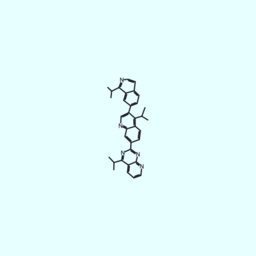 CC(C)c1nccc2ccc(-c3cnc4cc(-c5nc(C(C)C)c6cccnc6n5)ccc4c3C(C)C)cc12